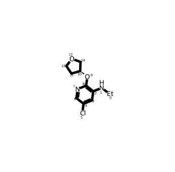 CCNc1cc(Cl)cnc1O[C@@H]1CCOC1